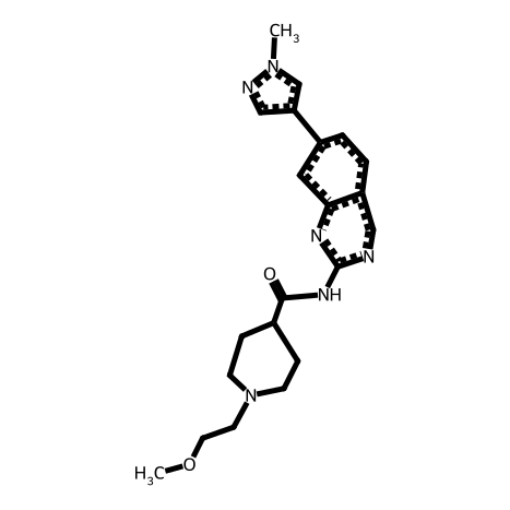 COCCN1CCC(C(=O)Nc2ncc3ccc(-c4cnn(C)c4)cc3n2)CC1